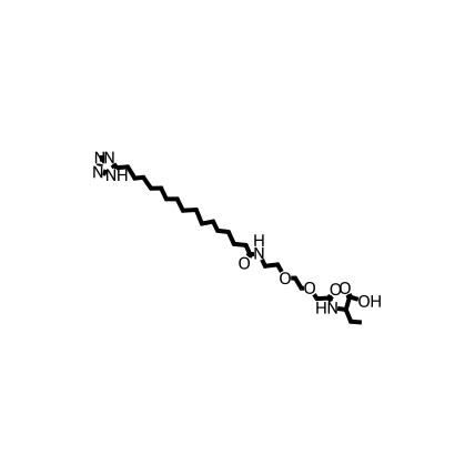 CCC(NC(=O)COCCOCCNC(=O)CCCCCCCCCCCCCCCc1nnn[nH]1)C(=O)O